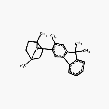 Cc1cc2c(cc1N1CC3(C)CCC1(C)CC3)-c1ccccc1C2(C)C